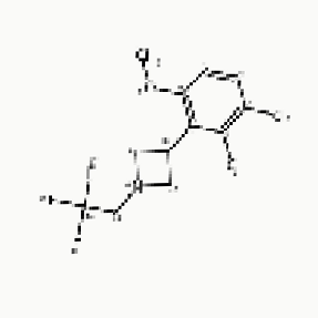 COc1[c]cc(Cl)c(Cl)c1C1CN(CC(F)(F)F)C1